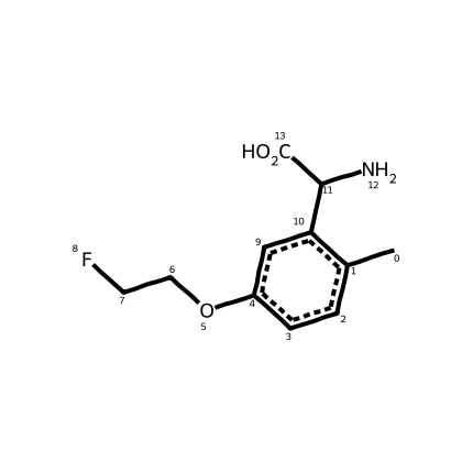 Cc1ccc(OCCF)cc1C(N)C(=O)O